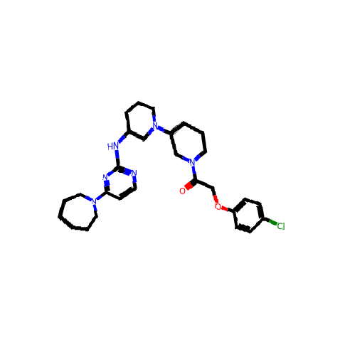 O=C(COc1ccc(Cl)cc1)N1CCCC(N2CCCC(Nc3nccc(N4CCCCCC4)n3)C2)C1